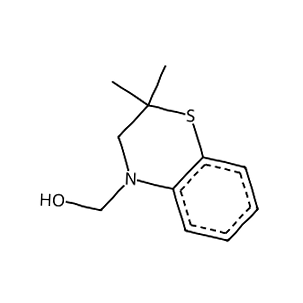 CC1(C)CN(CO)c2ccccc2S1